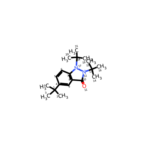 CC(C)(C)c1ccc2c(c1)c(=O)n(C(C)(C)C)n2C(C)(C)C